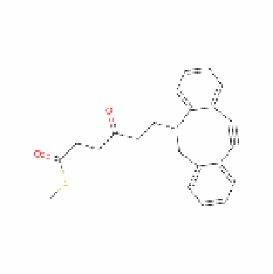 CSC(=O)CCC(=O)CCC1Cc2ccccc2C#Cc2ccccc21